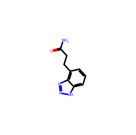 NC(=O)CCc1cccc2[nH]nnc12